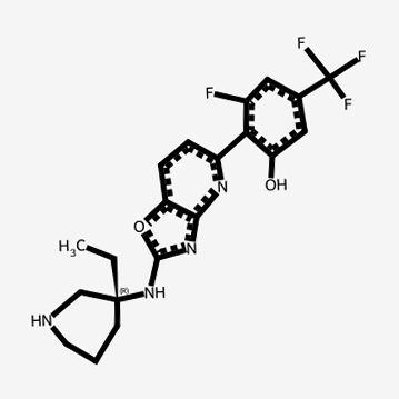 CC[C@@]1(Nc2nc3nc(-c4c(O)cc(C(F)(F)F)cc4F)ccc3o2)CCCNC1